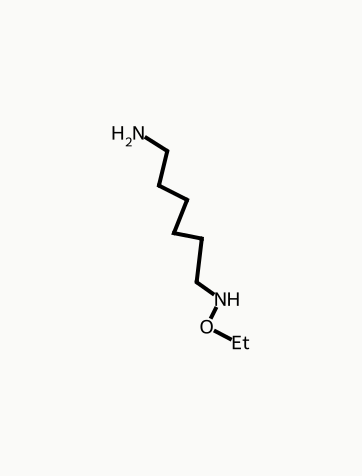 CCONCCCCCCN